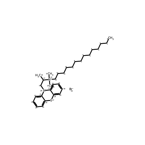 CCCCCCCCCCCCCC[N+](C)(C)C(C)CN1c2ccccc2Sc2ccccc21.[Br-]